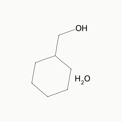 O.OCC1CCCCC1